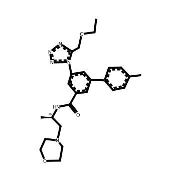 CCOCc1nnnn1-c1cc(C(=O)N[C@H](C)CN2CCOCC2)cc(-c2ccc(C)cc2)c1